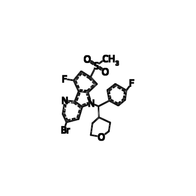 CS(=O)(=O)c1cc(F)c2c3ncc(Br)cc3n(C(c3ccc(F)cc3)C3CCOCC3)c2c1